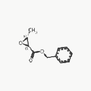 C[C@H]1O[C@@H]1C(=O)OCc1ccccc1